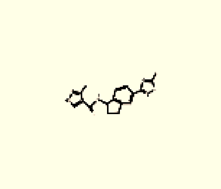 Cc1nc(-c2ccc3c(c2)CCC3NC(=O)c2c[nH]nc2C)no1